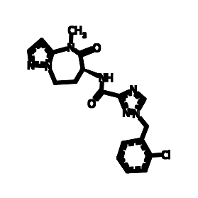 CN1C(=O)[C@@H](NC(=O)c2ncn(Cc3ccccc3Cl)n2)CCn2nccc21